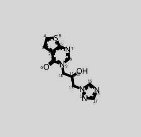 O=c1c2ccsc2ncn1CC(O)Cn1cncn1